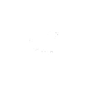 CCC(S)CC(Cc1cccnc1)C(=O)O